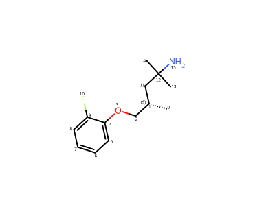 C[C@H](COc1ccccc1F)CC(C)(C)N